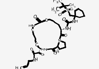 C=CCNC(=O)C(=O)[C@@H]1CCCCNC(=O)OCCC[C@H](NC(=O)NC2(CS(=O)(=O)C(C)(C)C)CCCCC2)C(=O)N2CCC[C@H]2C(=O)N1